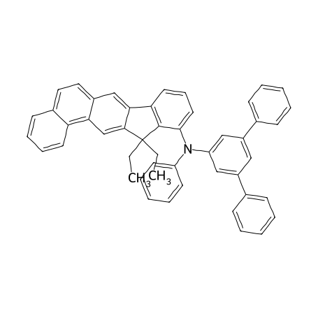 CCC1(CC)c2cc3c(ccc4ccccc43)cc2-c2cccc(N(c3ccccc3)c3cc(-c4ccccc4)cc(-c4ccccc4)c3)c21